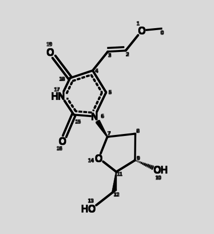 COC=Cc1cn([C@H]2C[C@H](O)[C@@H](CO)O2)c(=O)[nH]c1=O